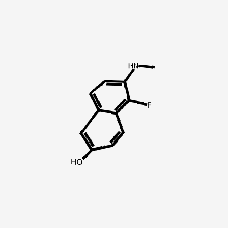 CNc1ccc2cc(O)ccc2c1F